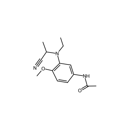 CCN(c1cc(NC(C)=O)ccc1OC)C(C)C#N